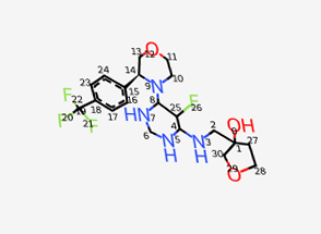 OC1(CNC2NCNC(N3CCOC[C@@H]3c3ccc(C(F)(F)F)cc3)C2F)CCOC1